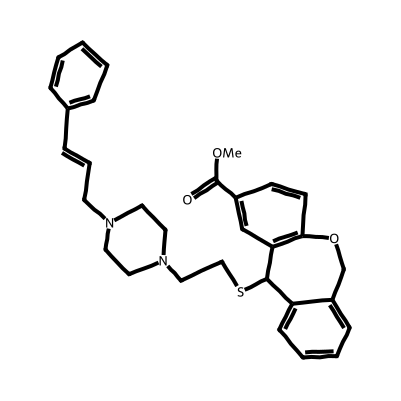 COC(=O)c1ccc2c(c1)C(SCCN1CCN(CC=Cc3ccccc3)CC1)c1ccccc1CO2